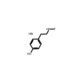 Br.Oc1ccc(CCNF)cc1